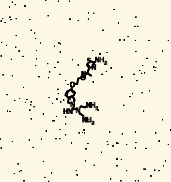 C/C(=N\OCCOc1ccc2c(c1)CN(C(=N)N(CCN)CCN)C2)c1csc(N)n1